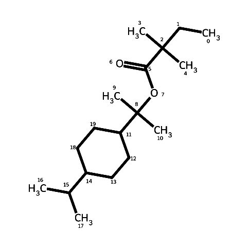 CCC(C)(C)C(=O)OC(C)(C)C1CCC(C(C)C)CC1